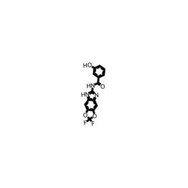 O=C(Nc1nc2cc3c(cc2[nH]1)OC(F)(F)O3)c1cccc(O)c1